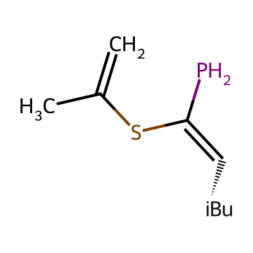 C=C(C)S/C(P)=C\[C@@H](C)CC